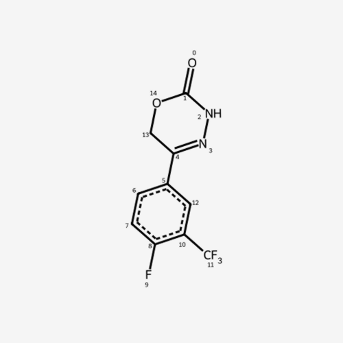 O=C1NN=C(c2ccc(F)c(C(F)(F)F)c2)CO1